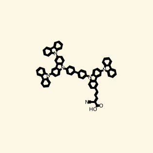 N#C/C(=C\C=C\c1ccc2c(c1)c1cc(-n3c4ccccc4c4ccccc43)ccc1n2-c1ccc(-c2ccc(-n3c4ccc(-n5c6ccccc6c6ccccc65)cc4c4cc(-n5c6ccccc6c6ccccc65)ccc43)cc2)cc1)C(=O)O